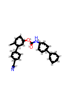 Cc1ccc(OC(=O)Nc2ccc(-c3ccccc3)cc2)cc1-c1ccc(C#N)cc1